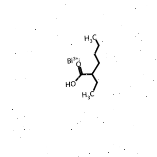 CCCCC(CC)C(=O)O.[Bi+3]